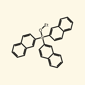 CCO[Si](c1ccc2ccccc2c1)(c1ccc2ccccc2c1)c1ccc2ccccc2c1